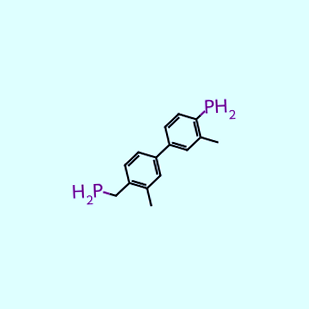 Cc1cc(-c2ccc(CP)c(C)c2)ccc1P